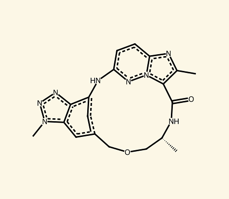 Cc1nc2ccc3nn2c1C(=O)N[C@H](C)COCc1cc(c2nnn(C)c2c1)N3